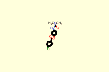 CN(C)C(=O)Nc1ccc2c(c1)OC(c1ccc(Cl)cc1)O2